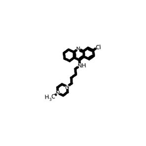 CN1CCN(CCCCNc2c3c(nc4cc(Cl)ccc24)CCCC3)CC1